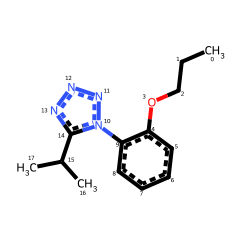 CCCOc1ccccc1-n1nnnc1C(C)C